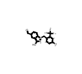 O=Cc1ccc2c(c1)c(O)nn2Cc1ccc(Cl)cc1C(F)(F)F